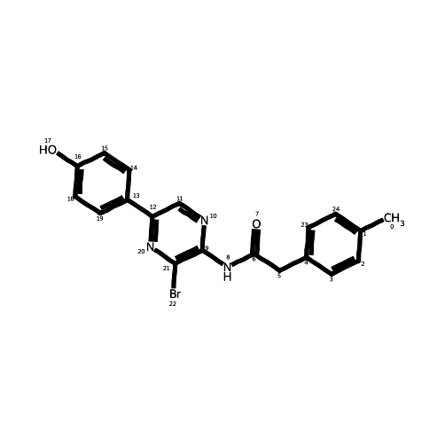 Cc1ccc(CC(=O)Nc2ncc(-c3ccc(O)cc3)nc2Br)cc1